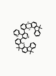 CC1(C)c2cccc(-c3cncc(-c4cccc5c4Sc4c(ccc6c4-c4ccccc4C6(C)C)S5)c3-c3ccccn3)c2Sc2c1ccc1c2-c2ccccc2C1(C)C